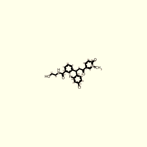 Cn1cc(C(=O)CC(c2cccc(C(=O)NCCO)c2)c2ccc(Cl)cc2F)ccc1=O